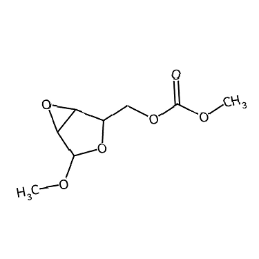 COC(=O)OCC1OC(OC)C2OC12